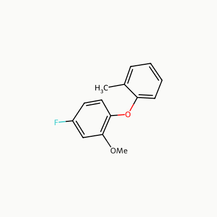 COc1cc(F)ccc1Oc1ccccc1C